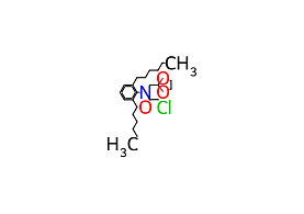 CCCCCCc1cccc(CCCCCC)c1N(CC1OCCO1)C(=O)CCl